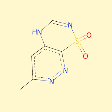 Cc1cc2c(nn1)S(=O)(=O)N=CN2